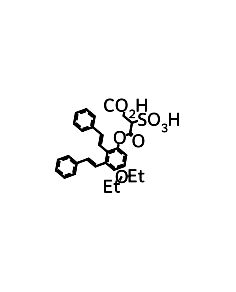 CCOCC.O=C(O)CC(C(=O)Oc1cccc(/C=C/c2ccccc2)c1/C=C/c1ccccc1)S(=O)(=O)O